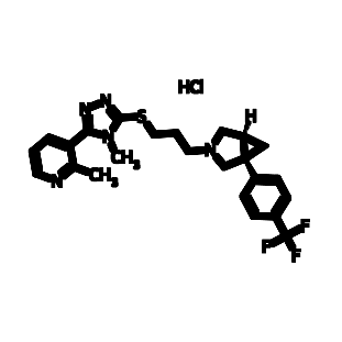 Cc1ncccc1-c1nnc(SCCCN2C[C@H]3C[C@]3(c3ccc(C(F)(F)F)cc3)C2)n1C.Cl